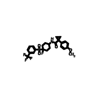 COc1ccc(C2(C(=O)NC3CCC(F)(S(=O)(=O)c4cccc(C(F)(F)F)c4)CC3)CC2)cc1